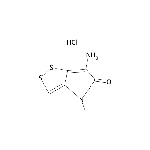 Cl.Cn1c2cssc-2c(N)c1=O